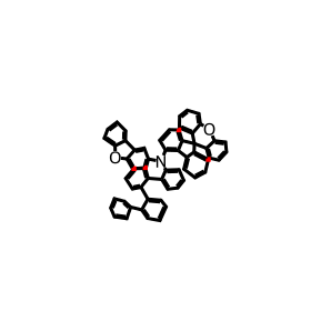 c1ccc(-c2ccccc2-c2ccccc2-c2ccccc2N(c2ccc3oc4ccccc4c3c2)c2cccc3c2-c2ccccc2C32c3ccccc3Oc3ccccc32)cc1